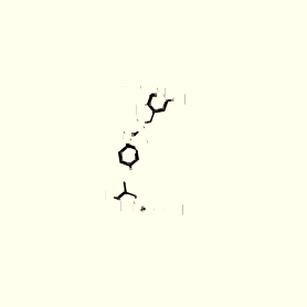 Cc1cc(CNc2nc3ccc(OC/C(=C\F)CNC(=O)O)cc3o2)cc(C)n1